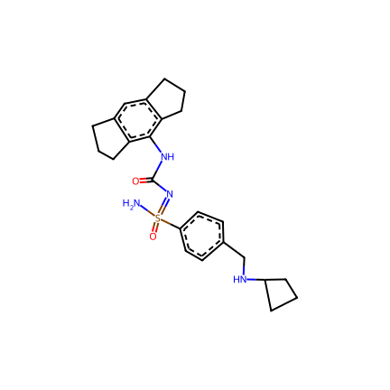 NS(=O)(=NC(=O)Nc1c2c(cc3c1CCC3)CCC2)c1ccc(CNC2CCC2)cc1